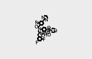 C=Nc1cc(-c2ncccn2)ccc1C(=O)N(CC(Cc1cc(F)cc(F)c1)NC=O)c1ccc(S(=O)(=O)N2CCOCC2)cc1